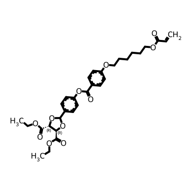 C=CC(=O)OCCCCCCOc1ccc(C(=O)Oc2ccc(C3O[C@@H](C(=O)OCC)[C@H](C(=O)OCC)O3)cc2)cc1